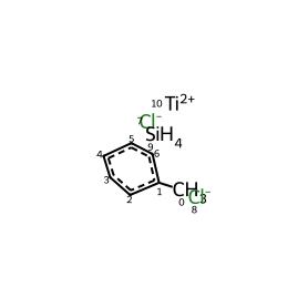 Cc1ccccc1.[Cl-].[Cl-].[SiH4].[Ti+2]